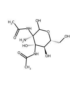 CC(=O)N[C@@]1(N)C(O)O[C@H](CO)[C@@H](O)[C@@]1(O)NC(C)=O